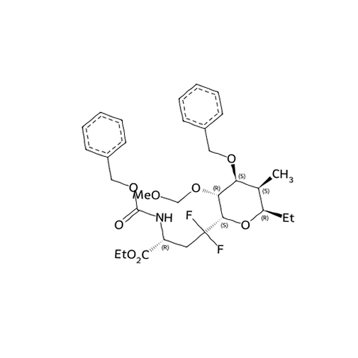 CCOC(=O)[C@@H](CC(F)(F)[C@H]1O[C@H](CC)[C@H](C)[C@H](OCc2ccccc2)[C@H]1OCOC)NC(=O)OCc1ccccc1